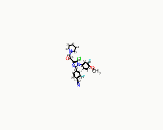 COc1ccc(-n2c(-c3ccc(C#N)c(F)c3)nc(C3OC3N3CCCCC3)c2Cl)cc1F